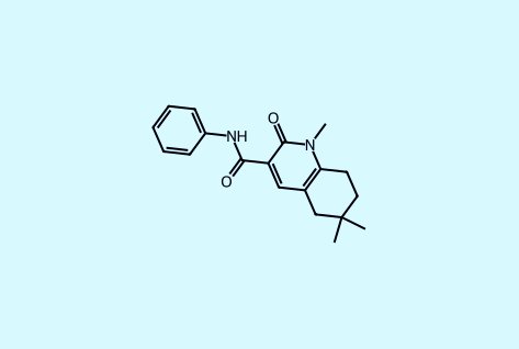 Cn1c2c(cc(C(=O)Nc3ccccc3)c1=O)CC(C)(C)CC2